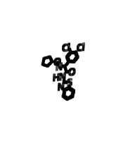 O=C(Nc1nc2ccccc2s1)C(=NOC1CCCC1)c1ccc(Cl)c(Cl)c1